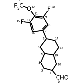 O=CC1CCC2CC(c3cc(F)c(OC(F)(F)F)c(F)c3)CCC2C1